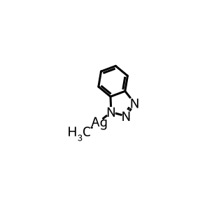 [CH3][Ag][n]1nnc2ccccc21